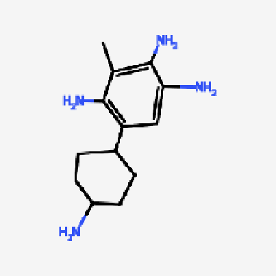 Cc1c(N)c(N)cc(C2CCC(N)CC2)c1N